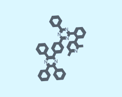 Cc1ccc(-c2ccccc2-c2nc(-c3ccccc3)nc(-c3ccc(-c4nc(-c5ccccc5)c(-c5ccccc5)nc4-c4ccccc4)cc3)n2)c(C)n1